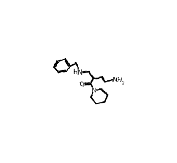 NCCC(CNCc1ccccc1)C(=O)N1CCCCC1